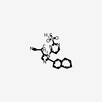 CC(C#N)c1cnc(-c2ccc3ccccc3c2)n1-c1ccnc(S(C)(=O)=O)n1